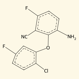 N#Cc1c(F)ccc(N)c1Oc1cc(F)ccc1Cl